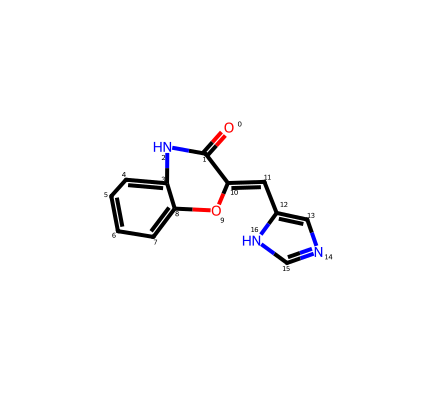 O=C1Nc2ccccc2OC1=Cc1cnc[nH]1